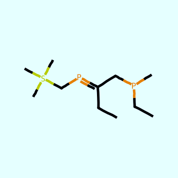 CC/C(CP(C)CC)=P\CS(C)(C)C